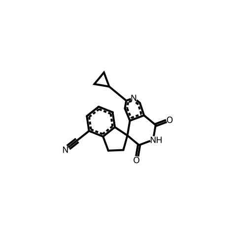 N#Cc1cccc2c1CCC21C(=O)NC(=O)c2cnc(C3CC3)cc21